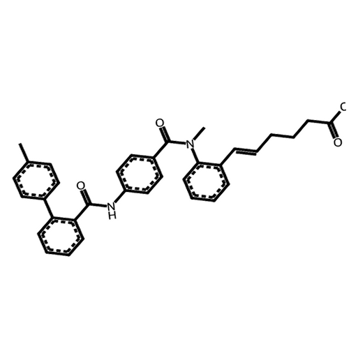 Cc1ccc(-c2ccccc2C(=O)Nc2ccc(C(=O)N(C)c3ccccc3C=CCCCC(=O)O)cc2)cc1